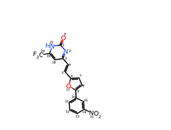 O=c1nc(C=Cc2ccc(-c3cccc([N+](=O)[O-])c3)o2)cc(C(F)(F)F)[nH]1